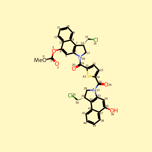 COC(=O)Oc1cc2c(c3ccccc13)[C@H](CCl)CN2C(=O)c1ccc(C(=O)N2C[C@@H](CCl)c3c2cc(O)c2ccccc32)s1